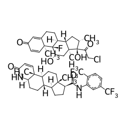 C[C@H]1C[C@H]2[C@@H]3CCC4=CC(=O)C=C[C@]4(C)[C@@]3(F)[C@@H](O)C[C@]2(C)[C@@]1(O)C(=O)CCl.C[C@]12C=CC(=O)N[C@@H]1CC[C@@H]1[C@@H]2CC[C@]2(C)[C@@H](C(=O)Nc3cc(C(F)(F)F)ccc3C(F)(F)F)CC[C@@H]12